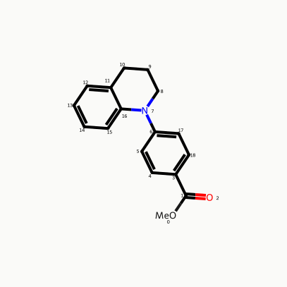 COC(=O)c1ccc(N2CCCc3ccccc32)cc1